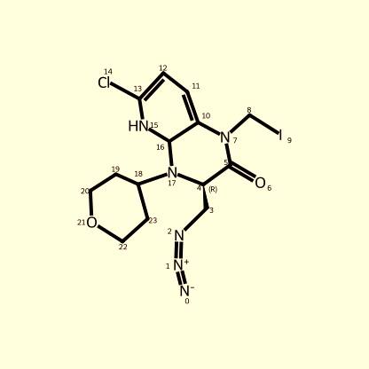 [N-]=[N+]=NC[C@@H]1C(=O)N(CI)C2=CC=C(Cl)NC2N1C1CCOCC1